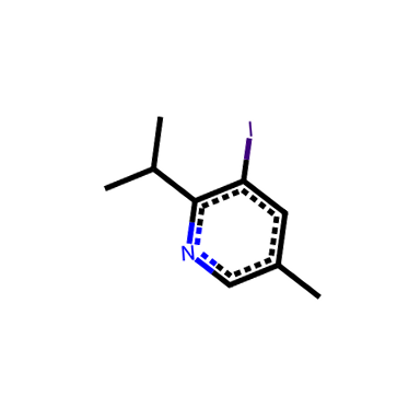 Cc1cnc(C(C)C)c(I)c1